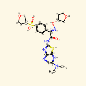 CN(C)c1cnc2nc(NC(=O)/C(=N/O[C@@H]3CCOC3)c3ccc(S(=O)(=O)[C@H]4CCOC4)cc3)sc2n1